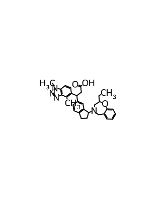 CCC1CN(C2CCc3ccc(C(CC(=O)O)c4ccc5c(nnn5C)c4C)cc32)Cc2ccccc2O1